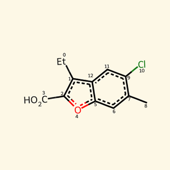 CCc1c(C(=O)O)oc2cc(C)c(Cl)cc12